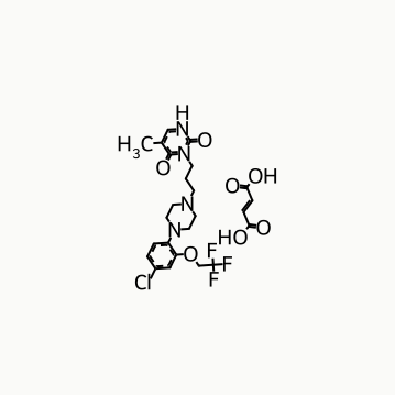 Cc1c[nH]c(=O)n(CCCN2CCN(c3ccc(Cl)cc3OCC(F)(F)F)CC2)c1=O.O=C(O)/C=C/C(=O)O